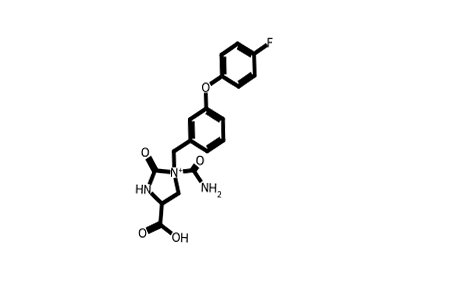 NC(=O)[N+]1(Cc2cccc(Oc3ccc(F)cc3)c2)CC(C(=O)O)NC1=O